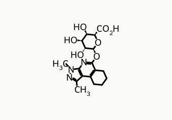 Cc1nn(C)c2nc(O[C@@H]3O[C@H](C(=O)O)[C@H](O)[C@H](O)[C@H]3O)c3c(c12)CCCC3